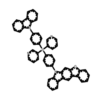 c1cncc([Si](c2ccc(-n3c4ccccc4c4ccccc43)cc2)(c2ccc(-n3c4ccccc4c4cc5c(cc43)oc3ccccc35)cc2)c2cccnc2)c1